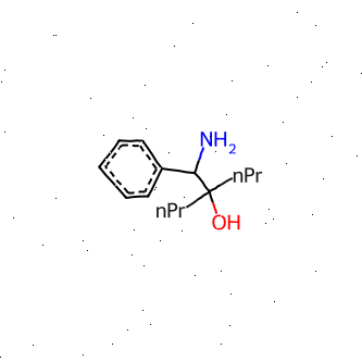 CCCC(O)(CCC)C(N)c1ccccc1